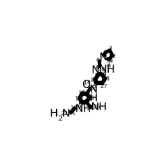 C[C@H]1CCCN1Cc1nc2cc(NC(=O)c3ccc(NCCN)c(C=N)c3)ccc2[nH]1